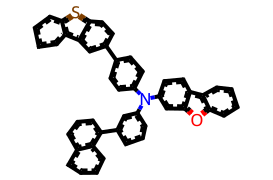 c1cc(-c2cccc3ccccc23)cc(N(c2ccc(-c3ccc4sc5ccccc5c4c3)cc2)c2ccc3c(c2)oc2ccccc23)c1